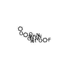 CCn1c(Oc2ccc(F)cc2)nnc1[C@@H](C)NS(=O)(=O)c1ccc(Oc2ccccc2)cc1